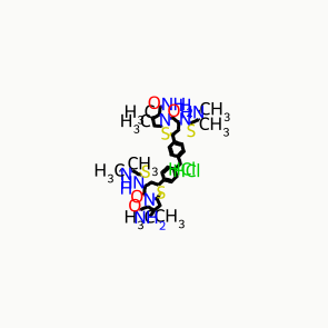 CNC(C)C(=S)NC1CC(c2ccc(Cc3ccc(C4CC(NC(=S)C(C)NC)C(=O)N5C(CC(C)(C)C5C(N)=O)S4)cc3)cc2)SC2CC(C)(C)C(C(N)=O)N2C1=O.Cl.Cl